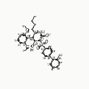 CCCCc1[nH]c(=O)c(S(=O)(=O)c2ccc(-c3ccccc3C)cn2)c(O)c1-c1c(OC)cccc1OC